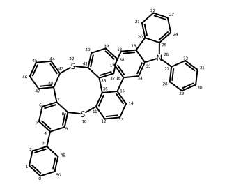 c1ccc(-c2ccc3c(c2)Sc2cccc(-c4ccc5c6ccccc6n(-c6ccccc6)c5c4)c2-c2ccccc2Sc2ccccc2-3)cc1